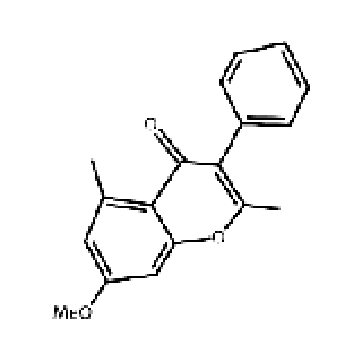 COc1cc(C)c2c(=O)c(-c3ccccc3)c(C)oc2c1